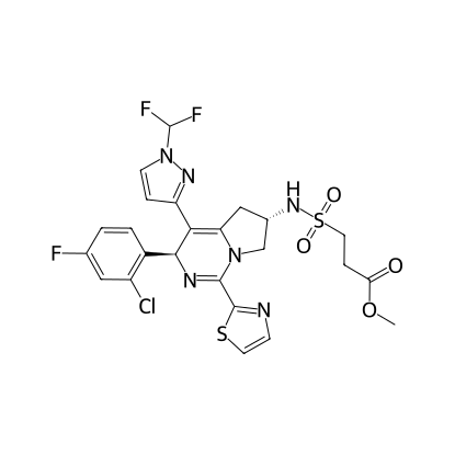 COC(=O)CCS(=O)(=O)N[C@H]1CC2=C(c3ccn(C(F)F)n3)[C@H](c3ccc(F)cc3Cl)N=C(c3nccs3)N2C1